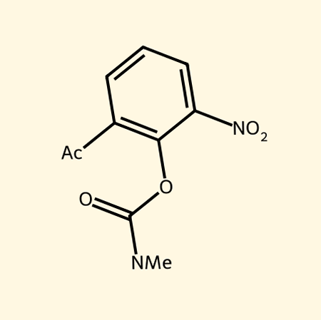 CNC(=O)Oc1c(C(C)=O)cccc1[N+](=O)[O-]